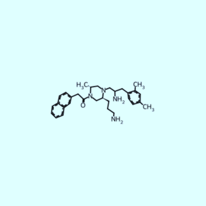 Cc1ccc(CC(N)CN2C[C@@H](C)N(C(=O)Cc3ccc4ccccc4c3)C[C@@H]2CCCN)c(C)c1